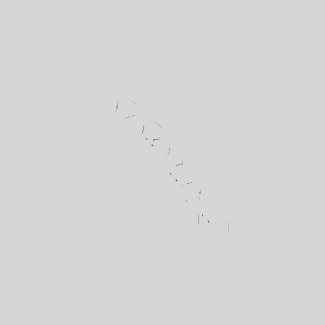 CNCc1ccc(NC(=O)/C=C/c2ccc(-c3ccc(Cl)cc3)cn2)cc1